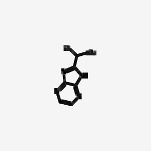 CCCCC(CC)c1nc2nccnc2[nH]1